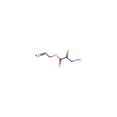 C=CCOC(=O)C(=O)CN